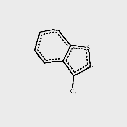 Clc1[c]sc2ccccc12